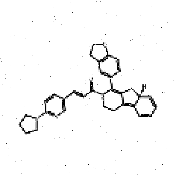 O=C(/C=C/c1ccc(N2CCCC2)nc1)N1CCC2=C3C=CC=C[C@H]3NC2=C1c1ccc2c(c1)CCO2